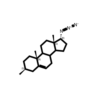 C[C@H]1CC[C@@]2(C)C(=CCC3C2CC[C@@]2(C)C3CC[C@H]2N=[N+]=[N-])C1